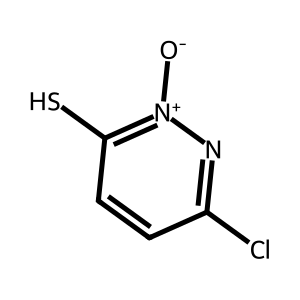 [O-][n+]1nc(Cl)ccc1S